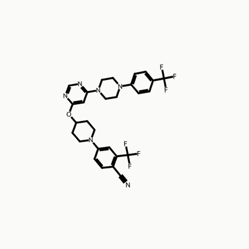 N#Cc1ccc(N2CCC(Oc3cc(N4CCN(c5ccc(C(F)(F)F)cc5)CC4)ncn3)CC2)cc1C(F)(F)F